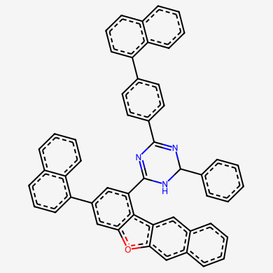 c1ccc(C2N=C(c3ccc(-c4cccc5ccccc45)cc3)N=C(c3cc(-c4cccc5ccccc45)cc4oc5cc6ccccc6cc5c34)N2)cc1